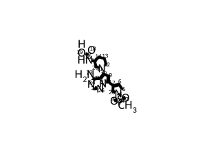 CS(=O)(=O)N1CC=C(c2cc(N3CCCC(NC(=O)O)C3)c3c(N)ncnn23)C1